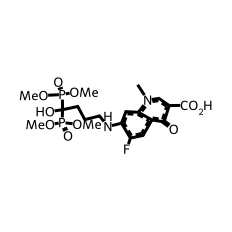 COP(=O)(OC)C(O)(CCCNc1cc2c(cc1F)c(=O)c(C(=O)O)cn2C)P(=O)(OC)OC